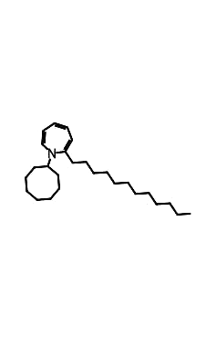 CCCCCCCCCCCCC1=CC=CC=CN1C1CCCCCCC1